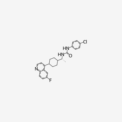 C[C@@H](NC(=O)Nc1ccc(Cl)cc1)C1CCC(c2ccnc3ccc(F)cc23)CC1